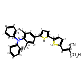 CC(C)c1cc(-c2ccc(-c3ccc(/C=C(\C#N)C(=O)O)s3)s2)cc(C(C)C)c1N(c1ccccc1)c1ccccc1